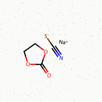 N#C[S-].O=C1OCCO1.[Na+]